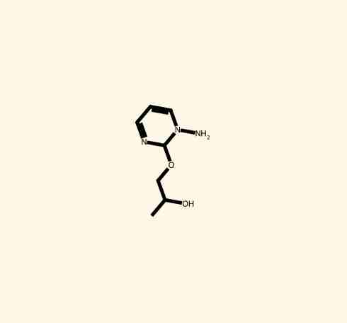 CC(O)COC1N=CC=CN1N